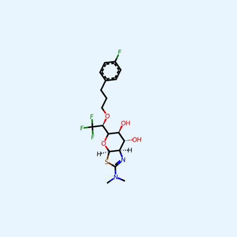 CN(C)C1=N[C@@H]2[C@@H](O)[C@H](O)C([C@H](OCCCc3ccc(F)cc3)C(F)(F)F)O[C@@H]2S1